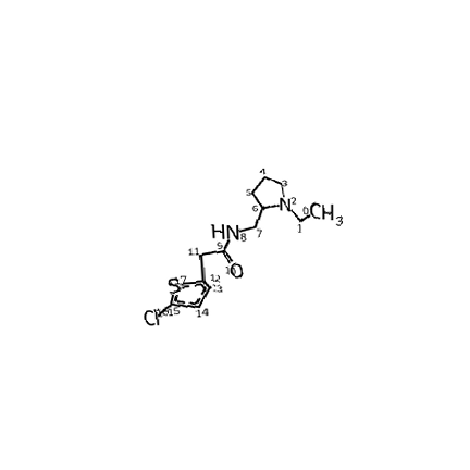 CCN1CCCC1CNC(=O)Cc1ccc(Cl)s1